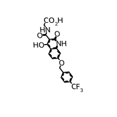 O=C(O)CNC(=O)c1c(O)c2ccc(OCc3ccc(C(F)(F)F)cc3)cc2[nH]c1=O